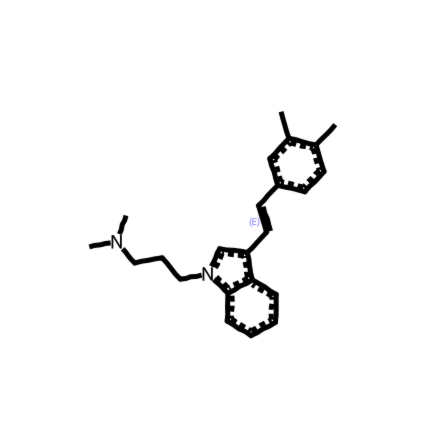 Cc1ccc(/C=C/c2cn(CCCN(C)C)c3ccccc23)cc1C